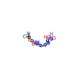 N#Cc1ccc(O[C@H]2CC[C@H](NC(=O)c3ccc(N4CCC(CN5CCC(n6ncc7c(N8CCC(=O)NC8O)nccc76)CC5)CC4)nn3)CC2)cc1Cl